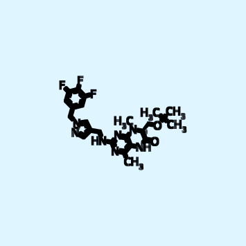 Cc1nc(NCc2cnn(Cc3cc(F)c(F)c(F)c3)c2)nc2c1NC(=O)[C@H](COC(C)(C)C)N2C